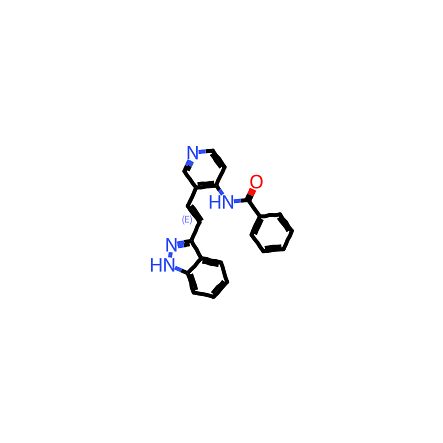 O=C(Nc1ccncc1/C=C/c1n[nH]c2ccccc12)c1ccccc1